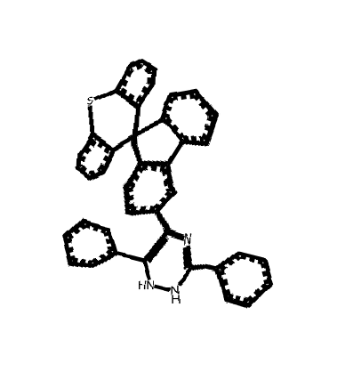 c1ccc(C2=NC(c3ccc4c(c3)-c3ccccc3C43c4ccccc4Sc4ccccc43)=C(c3ccccc3)NN2)cc1